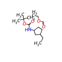 CCC1CCC(NC(=O)OC(C)(C)C)C1.CCOC=O